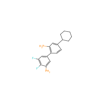 Fc1cc(-c2ccc(C3CCCCC3)cc2P)cc(P)c1F